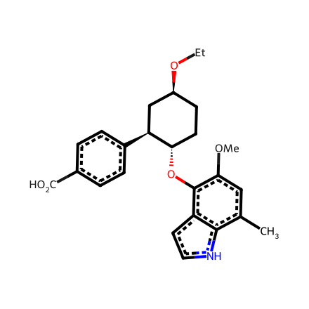 CCO[C@H]1CC[C@H](Oc2c(OC)cc(C)c3[nH]ccc23)[C@@H](c2ccc(C(=O)O)cc2)C1